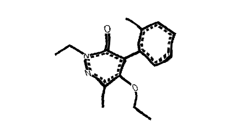 CCOc1c(C)nn(CC)c(=O)c1-c1ccccc1C